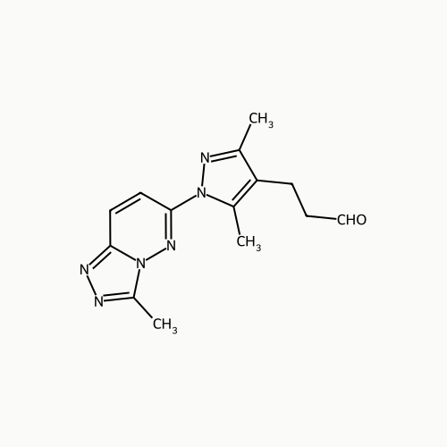 Cc1nn(-c2ccc3nnc(C)n3n2)c(C)c1CCC=O